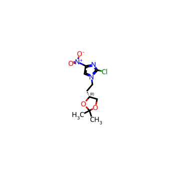 CC1(C)OC[C@@H](CCn2cc([N+](=O)[O-])nc2Cl)O1